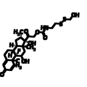 C[C@H]1C[C@@H]2[C@H]3CCC4=CC(=O)C=C[C@@]4(C)[C@]3(F)[C@H](O)C[C@@]2(C)[C@]1(O)C(=O)COC(=O)NCCSSCO